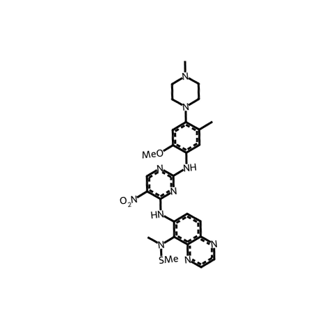 COc1cc(N2CCN(C)CC2)c(C)cc1Nc1ncc([N+](=O)[O-])c(Nc2ccc3nccnc3c2N(C)SC)n1